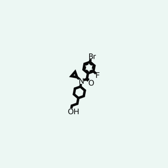 O=C(c1ccc(Br)cc1F)N(C1CCC(CCO)CC1)C1CC1